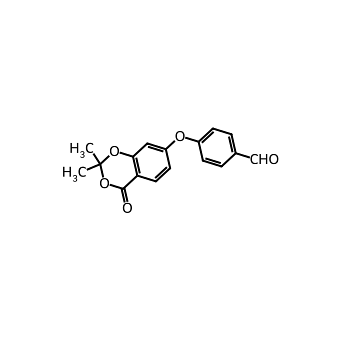 CC1(C)OC(=O)c2ccc(Oc3ccc(C=O)cc3)cc2O1